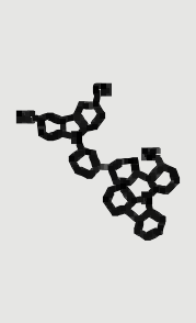 N#Cc1ccc2c(c1)c1cc(C#N)ccc1n2-c1cccc(-c2ccc(-c3c(C#N)cccc3-n3c4ccccc4c4ccccc43)cc2)c1